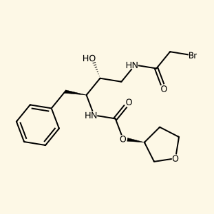 O=C(CBr)NC[C@@H](O)[C@H](Cc1ccccc1)NC(=O)O[C@H]1CCOC1